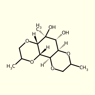 CC1CO[C@@H]2[C@H](O1)[C@@H](O)[C@](C)(O)[C@H]1OCC(C)O[C@@H]21